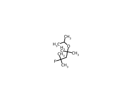 CC(C)OC(C)(C)CC(C)(C)F